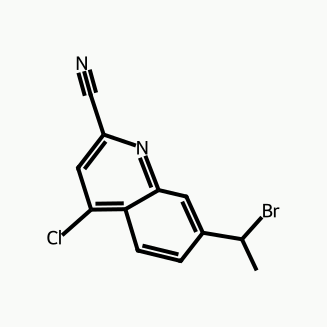 CC(Br)c1ccc2c(Cl)cc(C#N)nc2c1